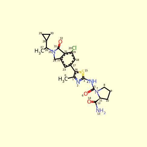 Cc1nc(NC(=O)N2CCC[C@H]2C(N)=O)sc1-c1cc(Cl)c2c(c1)CN(C(C)C1CC1)C2=O